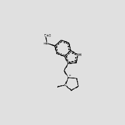 CN1CCC[C@@H]1Cc1c[nH]c2ccc(NC=O)cc12